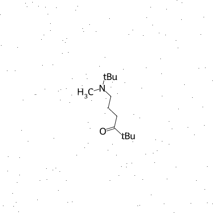 CN(CCCC(=O)C(C)(C)C)C(C)(C)C